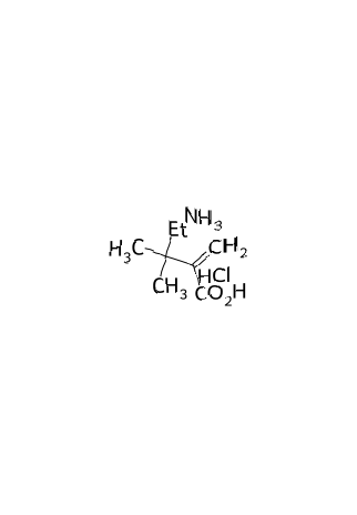 C=C(C(=O)O)C(C)(C)CC.Cl.N